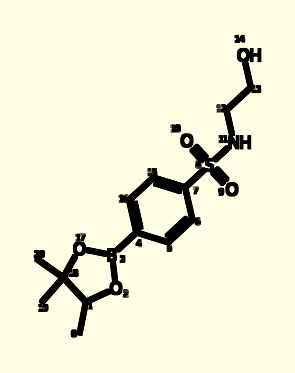 CC1OB(c2ccc(S(=O)(=O)NCCO)cc2)OC1(C)C